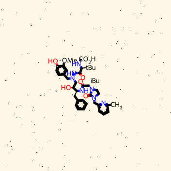 CC[C@H](C)[C@@H](C(=O)N[C@@H](Cc1ccccc1)[C@@H](O)CN(Cc1ccc(O)c(OC)c1)NC(=O)[C@@H](NC(=O)O)C(C)(C)C)N1CCN(Cc2cccc(C)n2)C1=O